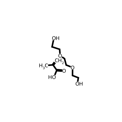 C=C(C)C(=O)O.OCCOCCOCCO